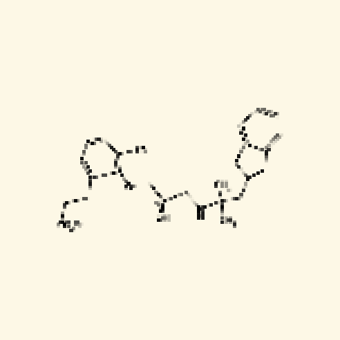 CCOC(=O)CCc1cccc(C#N)c1OC[C@H](O)CNC(C)(C)CC1Cc2ccccc2C1